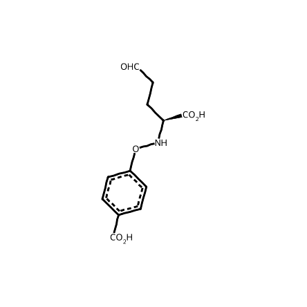 O=CCC[C@H](NOc1ccc(C(=O)O)cc1)C(=O)O